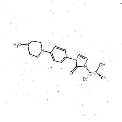 CC[C@@H]([C@H](C)O)n1ncn(-c2ccc(N3CCN(C)CC3)cc2)c1=O